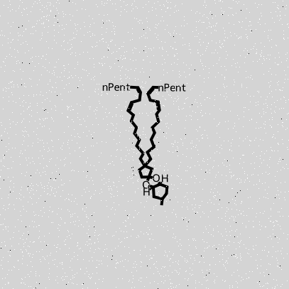 CCCCC/C=C\C/C=C\CCCCCCCCC1(CCCCCCCC/C=C\C/C=C\CCCCC)CCC2(C1)O[C@H]1CCC(C)C[C@@H]1O2